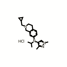 Cc1nn(C)cc1N(c1ccc2c(c1)CN(CC1CC1)CC2)C(C)C.Cl